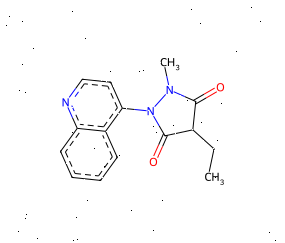 CCC1C(=O)N(C)N(c2ccnc3ccccc23)C1=O